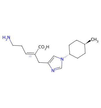 C[C@H]1CC[C@H](n2cnc(C/C(=C/CCN)C(=O)O)c2)CC1